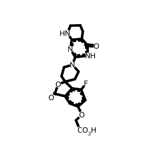 O=C(O)COc1cc(F)c2c(c1)C(=O)OC21CCN(c2nc3c(c(=O)[nH]2)CCCN3)CC1